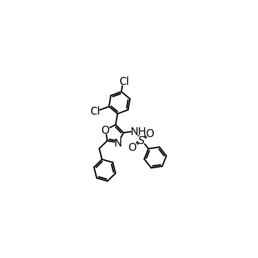 O=S(=O)(Nc1nc(Cc2ccccc2)oc1-c1ccc(Cl)cc1Cl)c1ccccc1